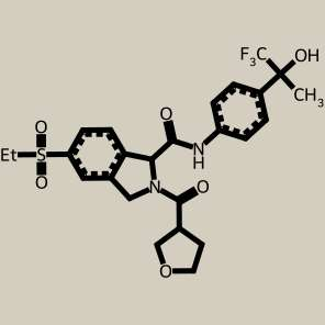 CCS(=O)(=O)c1ccc2c(c1)CN(C(=O)C1CCOC1)C2C(=O)Nc1ccc(C(C)(O)C(F)(F)F)cc1